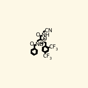 N#CCNC(=O)C(CNC(=O)c1ccccc1)S(=O)(=O)Cc1ccc(C(F)(F)F)cc1C(F)(F)F